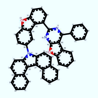 c1ccc(-c2nc(-c3cccc4oc5ccc(-n6c7ccc8ccccc8c7c7c8ccccc8ccc76)cc5c34)nc3oc4ccccc4c23)cc1